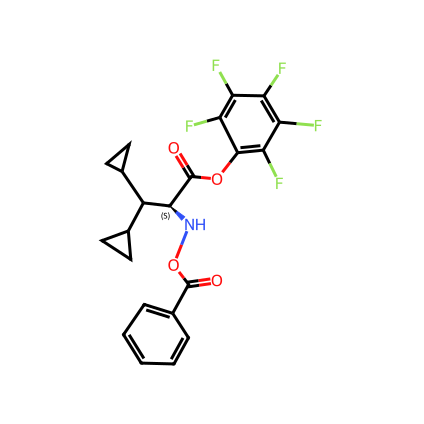 O=C(ON[C@H](C(=O)Oc1c(F)c(F)c(F)c(F)c1F)C(C1CC1)C1CC1)c1ccccc1